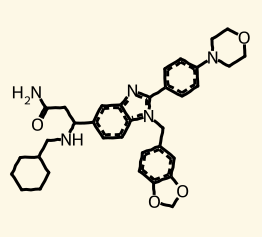 NC(=O)CC(NCC1CCCCC1)c1ccc2c(c1)nc(-c1ccc(N3CCOCC3)cc1)n2Cc1ccc2c(c1)OCO2